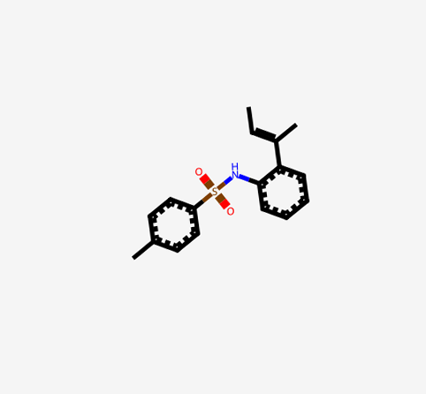 CC=C(C)c1ccccc1NS(=O)(=O)c1ccc(C)cc1